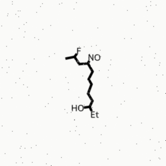 CCC(O)CCCCCC(CC(C)F)N=O